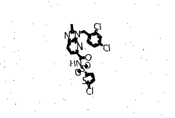 Cc1nc2ccc(C(=O)NS(=O)(=O)c3ccc(Cl)s3)nc2n1Cc1ccc(Cl)cc1Cl